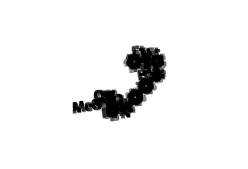 CCN(CC)[C@@H](C(=O)N1CCC[C@H]1c1ncc(-c2ccc(-c3ccc(-c4cnc([C@@H]5CCCN5C(=O)C5(NC(=O)OC)CC5)[nH]4)cc3)cc2)[nH]1)c1ccccc1